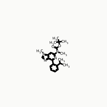 CC(C)c1ccccc1-c1nc(N(C)C(=O)OC(C)(C)C)cc2c1ncn2C